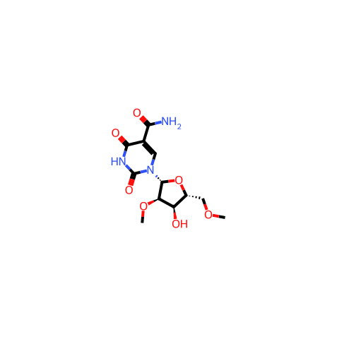 COC[C@H]1O[C@@H](n2cc(C(N)=O)c(=O)[nH]c2=O)[C@H](OC)[C@@H]1O